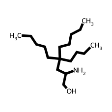 CCCCCC(CCCC)(CCCCC)CC(N)CO